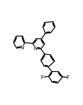 Fc1ccc(F)c(-c2ccc(-c3cc(-c4ccccc4)cc(-c4ccccn4)n3)cc2)c1